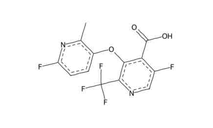 Cc1nc(F)ccc1Oc1c(C(F)(F)F)ncc(F)c1C(=O)O